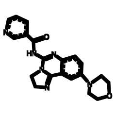 O=C(NC1=Nc2ccc(N3CCOCC3)cc2C2=NCCN12)c1cccnc1